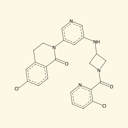 O=C(c1ncccc1Cl)N1CC(Nc2cncc(N3CCc4cc(Cl)ccc4C3=O)c2)C1